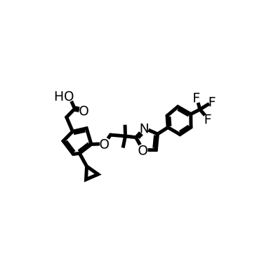 CC(C)(COc1cc(CC(=O)O)ccc1C1CC1)c1nc(-c2ccc(C(F)(F)F)cc2)co1